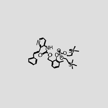 Cc1cccc(COC(=O)Nc2cccnc2C=Cc2ccccc2)c1OP(=O)(OCC[Si](C)(C)C)OCC[Si](C)(C)C